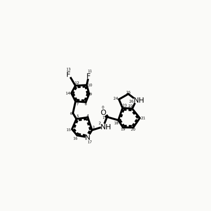 O=C(Nc1cc(Cc2ccc(F)c(F)c2)ccn1)c1cccc2c1CCN2